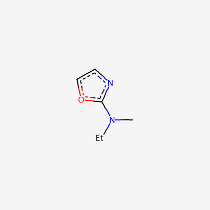 CCN(C)c1ncco1